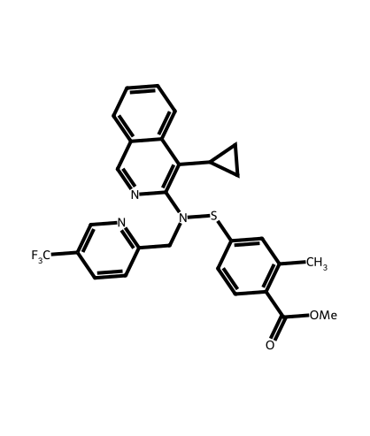 COC(=O)c1ccc(SN(Cc2ccc(C(F)(F)F)cn2)c2ncc3ccccc3c2C2CC2)cc1C